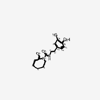 O=C1CCCCCN1C(=O)NCCc1ccc(O)c(O)c1